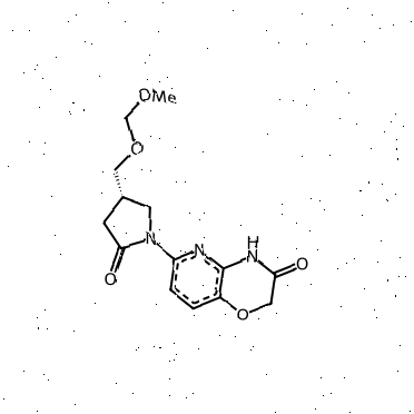 COCOC[C@H]1CC(=O)N(c2ccc3c(n2)NC(=O)CO3)C1